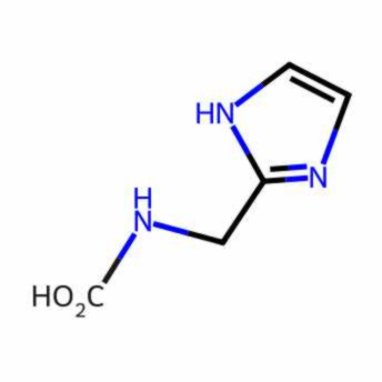 O=C(O)NCc1ncc[nH]1